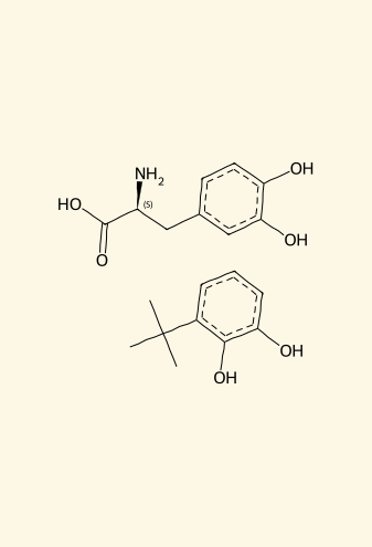 CC(C)(C)c1cccc(O)c1O.N[C@@H](Cc1ccc(O)c(O)c1)C(=O)O